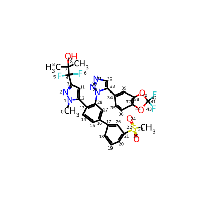 Cn1nc(C(F)(F)C(C)(C)O)cc1-c1ccc(-c2cccc(S(C)(=O)=O)c2)cc1-n1nncc1-c1ccc2c(c1)OC(F)(F)O2